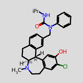 CC(C)NC(=O)N(Cc1ccc2c(c1)[C@@H]1c3cc(O)c(Cl)cc3CCN(C)[C@H]1CC2)c1ccccc1